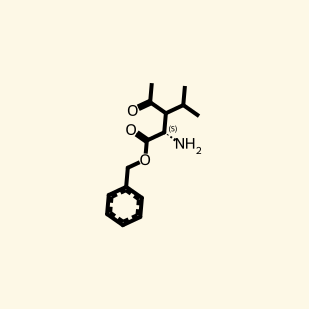 CC(=O)C(C(C)C)[C@H](N)C(=O)OCc1ccccc1